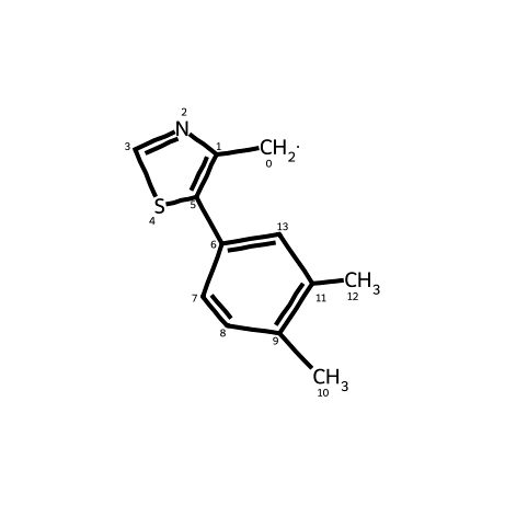 [CH2]c1ncsc1-c1ccc(C)c(C)c1